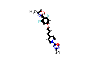 CC(C)c1noc(N2CCC(CCCOc3cc(F)c(C4=N[C@H](C)CO4)c(F)c3)CC2)n1